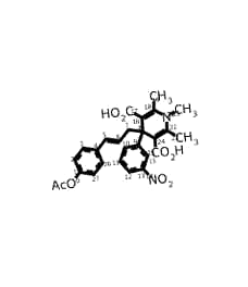 CC(=O)Oc1ccc(/C=C/CC2(c3cccc([N+](=O)[O-])c3)C(C(=O)O)=C(C)N(C)C(C)=C2C(=O)O)cc1